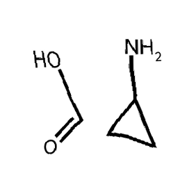 NC1CC1.O=CO